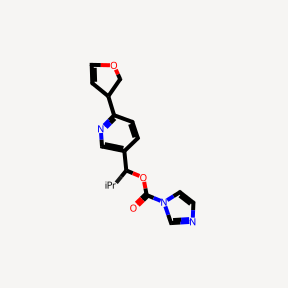 CC(C)C(OC(=O)n1ccnc1)c1ccc(C2C=COC2)nc1